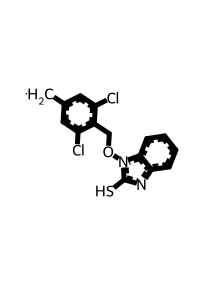 [CH2]c1cc(Cl)c(COn2c(S)nc3ccccc32)c(Cl)c1